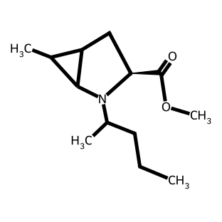 CCCC(C)N1C2C(C)C2C[C@H]1C(=O)OC